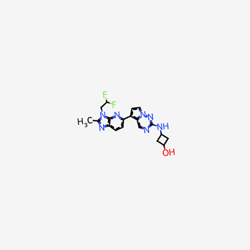 Cc1nc2ccc(-c3ccn4nc(NC5CC(O)C5)ncc34)nc2n1CC(F)F